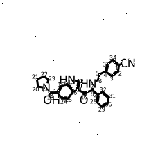 N#Cc1ccc(CCNC(C(=O)c2c[nH]c3cc(C(O)N4CCCC4)ccc23)c2ccccc2)cc1